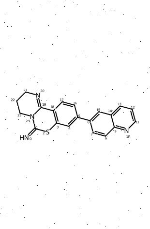 N=C1Sc2cc(-c3ccc4ncccc4c3)ccc2C2=NCCCN12